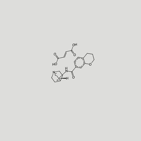 O=C(N[C@H]1CN2CCC1CC2)c1ccc2c(c1)OCCC2.O=C(O)C=CC(=O)O